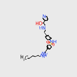 CCCCCCn1nnc(-c2ccc(S(=O)(=O)Nc3ccc(CCNCC(O)c4cccnc4)cc3)cc2)n1